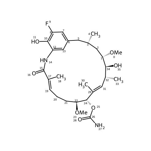 CO[C@H]1C[C@@H](C)Cc2cc(F)c(O)c(c2)NC(=O)/C(C)=C/CC[C@H](OC)[C@@H](OC(N)=O)/C(C)=C/[C@@H](C)[C@@H]1O